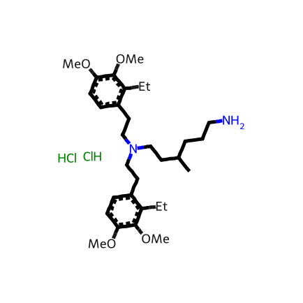 CCc1c(CCN(CCc2ccc(OC)c(OC)c2CC)CCC(C)CCCN)ccc(OC)c1OC.Cl.Cl